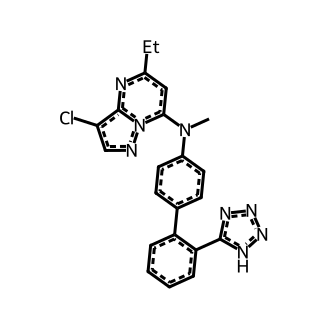 CCc1cc(N(C)c2ccc(-c3ccccc3-c3nnn[nH]3)cc2)n2ncc(Cl)c2n1